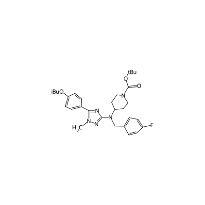 CC(C)COc1ccc(-c2nc(N(Cc3ccc(F)cc3)C3CCN(C(=O)OC(C)(C)C)CC3)nn2C)cc1